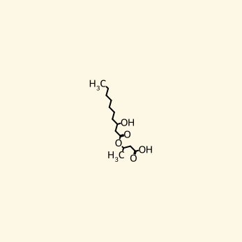 CCCCCCCC(O)CC(=O)OC(C)CC(=O)O